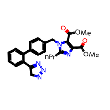 CCCc1nc(C(=O)OC)c(C(=O)OC)n1Cc1ccc(-c2ccccc2C2=NN=NC2)cc1